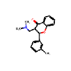 Cc1cccc(C2Oc3ccccc3C(=O)C2CN(C)C)c1